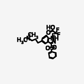 CN(C)CCCc1ccc2[nH]nc(S(=O)(=O)c3ccccc3)c2c1.O=C(O)C(F)(F)F